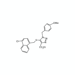 CCOC(=O)c1nnn(Cc2ccc(OC)cc2)c1SCc1ccc(Cl)c2ccccc12